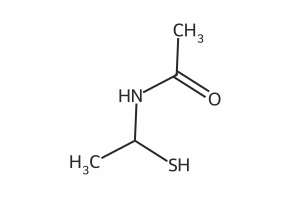 CC(=O)NC(C)S